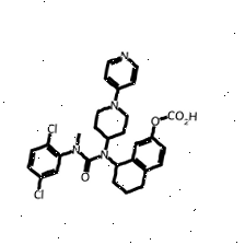 CN(C(=O)N(C1CCN(c2ccncc2)CC1)C1CCCc2ccc(OC(=O)O)cc21)c1cc(Cl)ccc1Cl